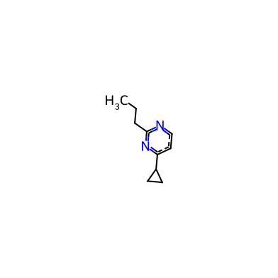 CCCc1nccc(C2CC2)n1